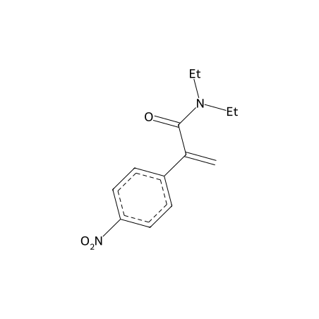 C=C(C(=O)N(CC)CC)c1ccc([N+](=O)[O-])cc1